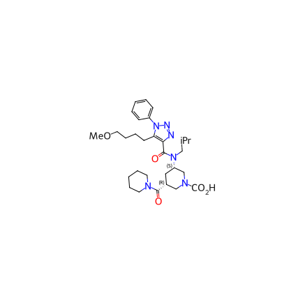 COCCCCc1c(C(=O)N(CC(C)C)[C@H]2C[C@@H](C(=O)N3CCCCC3)CN(C(=O)O)C2)nnn1-c1ccccc1